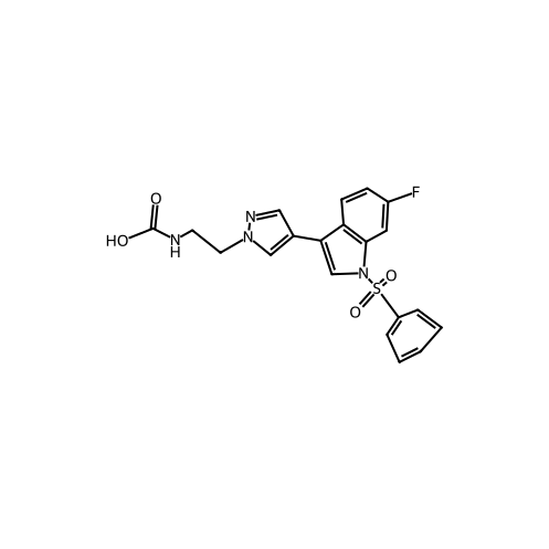 O=C(O)NCCn1cc(-c2cn(S(=O)(=O)c3ccccc3)c3cc(F)ccc23)cn1